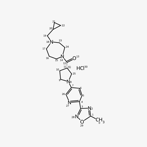 Cc1nc(-c2ccc(N3CC[C@H](C(=O)N4CCCN(CC5CC5)CC4)C3)cn2)no1.Cl